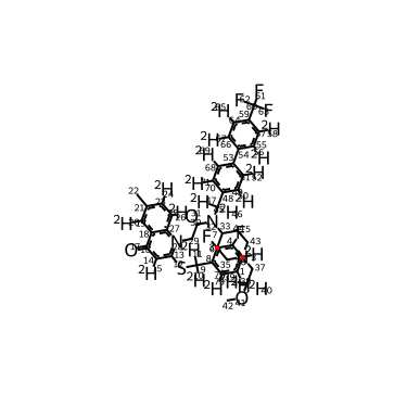 [2H]c1c([2H])c(F)c(F)c(C([2H])([2H])Sc2c([2H])c(=O)c3c([2H])c(C)c([2H])c([2H])c3n2CC(=O)N(C2CCN(CC([2H])([2H])OC)CC2)C([2H])([2H])c2c([2H])c([2H])c(-c3c([2H])c([2H])c(C(F)(F)F)c([2H])c3[2H])c([2H])c2[2H])c1[2H]